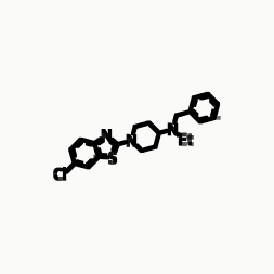 CCN(Cc1c[c]ccc1)C1CCN(c2nc3ccc(Cl)cc3s2)CC1